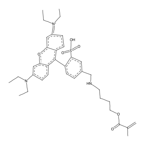 C=C(C)C(=O)OCCCCNCc1ccc(-c2c3ccc(=[N+](CC)CC)cc-3oc3cc(N(CC)CC)ccc23)c(S(=O)(=O)O)c1